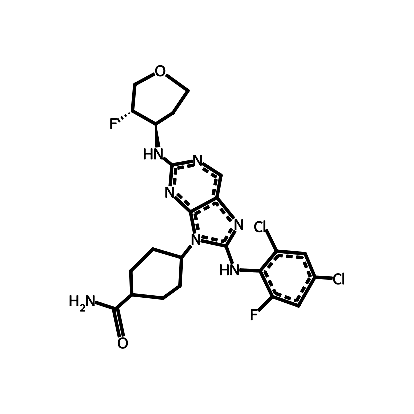 NC(=O)C1CCC(n2c(Nc3c(F)cc(Cl)cc3Cl)nc3cnc(N[C@@H]4CCOC[C@H]4F)nc32)CC1